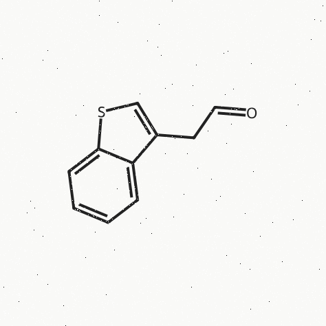 O=CCc1csc2ccccc12